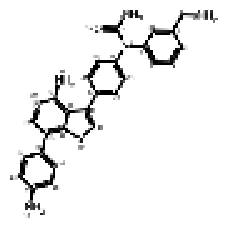 NCc1cccc(N(C(N)=O)c2ccc(-c3csc4c(-c5ccc(N)cc5)cnc(N)c34)cc2)c1